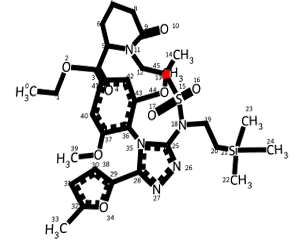 CCOC(=O)C1CCCC(=O)N1CC(C)S(=O)(=O)N(CC[Si](C)(C)C)c1nnc(-c2ccc(C)o2)n1-c1c(OC)cccc1OC